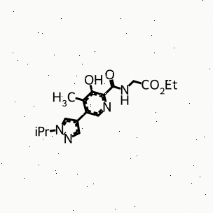 CCOC(=O)CNC(=O)c1ncc(-c2cnn(C(C)C)c2)c(C)c1O